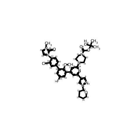 COc1c(-c2cc(-c3cnn(C4CCCCO4)c3)nc(N3CCN(C(=O)OC(C)(C)C)CC3)c2)cc(F)cc1-c1ccc(-n2ccn(C)c2=O)c(Cl)c1